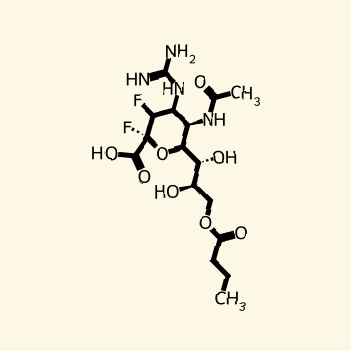 CCCC(=O)OC[C@@H](O)[C@@H](O)C1O[C@@](F)(C(=O)O)C(F)C(NC(=N)N)[C@H]1NC(C)=O